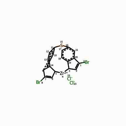 BrC1=C[CH]2[Zr+2][CH]3C=C(Br)c4cc(ccc43)Sc3ccc2c1c3.[Cl-].[Cl-]